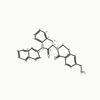 NCc1ccc2c(c1)CCN([C@@H](Cc1ccccc1)C(=O)Nc1ccc3ccccc3c1)C2=O